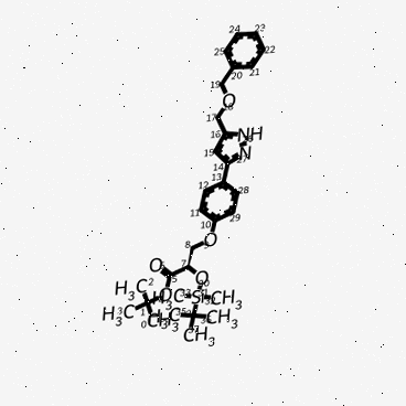 CC(C)(C)OC(=O)[C@@H](COc1ccc(-c2cc(COCc3ccccc3)[nH]n2)cc1)O[Si](C)(C)C(C)(C)C